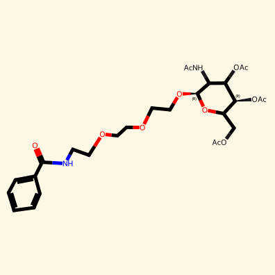 CC(=O)NC1C(OC(C)=O)[C@@H](OC(C)=O)C(COC(C)=O)O[C@H]1OCCOCCOCCNC(=O)c1ccccc1